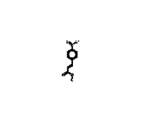 O=C(/C=C/c1ccc([N+](=O)[O-])cc1)OCl